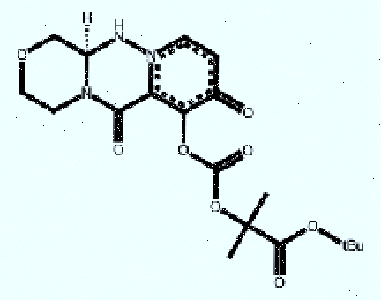 CC(C)(C)OC(=O)C(C)(C)OC(=O)Oc1c2n(ccc1=O)N[C@@H]1COCCN1C2=O